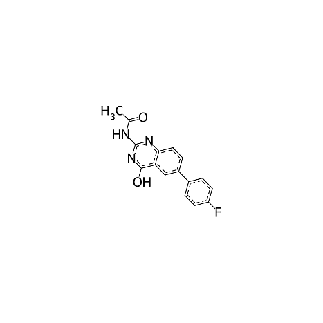 CC(=O)Nc1nc(O)c2cc(-c3ccc(F)cc3)ccc2n1